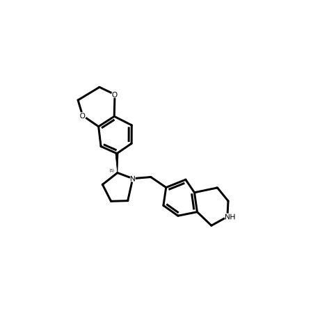 c1cc2c(cc1CN1CCC[C@H]1c1ccc3c(c1)OCCO3)CCNC2